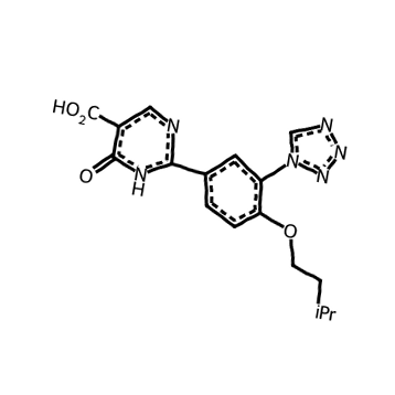 CC(C)CCOc1ccc(-c2ncc(C(=O)O)c(=O)[nH]2)cc1-n1cnnn1